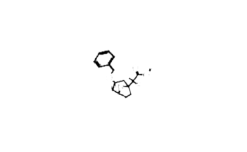 O=C(OF)C(F)(F)C12CCC(CC(OCc3ccccc3)C1)N2